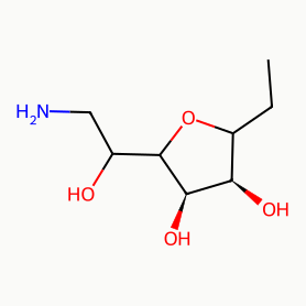 CCC1OC(C(O)CN)[C@H](O)[C@@H]1O